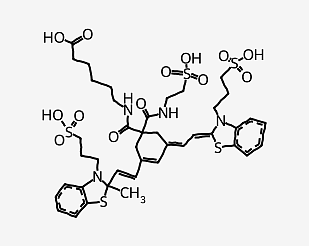 CC1(/C=C/C2=CC(=C/C=C3\Sc4ccccc4N3CCCS(=O)(=O)O)/CC(C(=O)NCCCCCC(=O)O)(C(=O)NCCS(=O)(=O)O)C2)Sc2ccccc2N1CCCS(=O)(=O)O